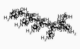 CO[C@H]1[C@@H](OP(O)(=S)OCC2O[C@@H](n3cnc4c(N)ncnc43)[C@H](OP(O)(=S)OCC3O[C@@H](n4cnc5c(N)ncnc54)[C@H](OP(O)(=S)OCC4O[C@@H](n5cnc6c(N)ncnc65)[C@H](OP(O)(=S)OCC5O[C@@H](n6cnc7c(N)ncnc76)[C@H](O)[C@@H]5O)[C@@H]4OC)[C@@H]3OC)[C@@H]2OC)[C@H](n2cnc3c(N)ncnc32)O[C@@H]1COP(O)(O)=S